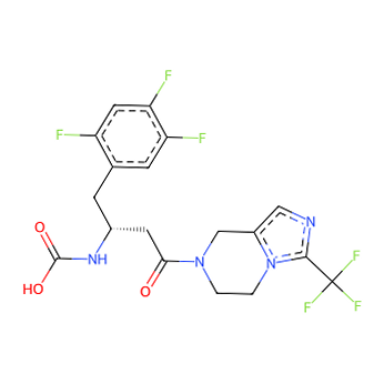 O=C(O)N[C@@H](CC(=O)N1CCn2c(cnc2C(F)(F)F)C1)Cc1cc(F)c(F)cc1F